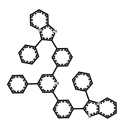 c1ccc(-c2cc(-c3cccc(-c4nc5ccccn5c4-c4ccccc4)c3)nc(-c3cccc(-c4nc5ccccn5c4-c4ccccc4)c3)c2)cc1